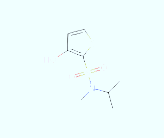 CC(C)N(C)S(=O)(=O)c1sccc1O